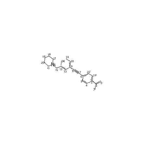 C=C(C)c1ccc(C#CC(=C/C)/C=C(\C)CN2CCCCC2)cc1